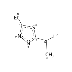 CCc1nnc(C(C)I)s1